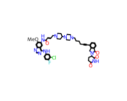 COc1cc2ncnc(Nc3ccc(F)c(Cl)c3)c2cc1NC(=O)/C=C/CN1CCC(N2CCN(CCCCC#Cc3cccc4c3CN(C3CCC(=O)NC3=O)C4=O)CC2)CC1